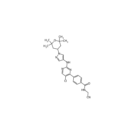 CC1(C)CC(n2cc(Nc3ncc(Cl)c(-c4ccc(C(=O)NCC#N)cc4)n3)cn2)CC(C)(C)O1